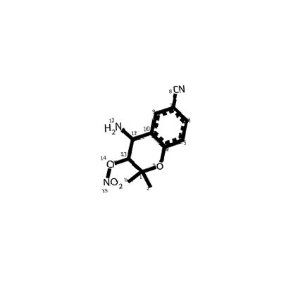 CC1(C)Oc2ccc(C#N)cc2C(N)C1O[N+](=O)[O-]